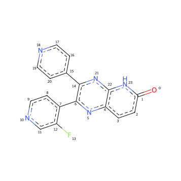 O=c1ccc2nc(-c3ccncc3F)c(-c3ccncc3)nc2[nH]1